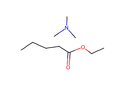 CCCCC(=O)OCC.CN(C)C